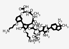 Cc1nc(-c2ccc3c(c2)CCC3(C)C)nc(N)c1C(=O)N[C@@H](CNS(N)(=O)=O)C(=O)N(C)[C@@H]1C(=O)N[C@@H](C)C(=O)N[C@H](C(=O)O)Cc2ccc(OCCCN)c(c2)-c2cc1cc(OCCCN)c2O